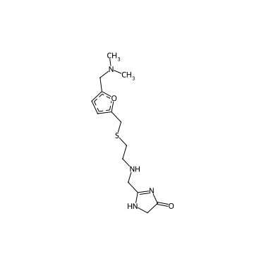 CN(C)Cc1ccc(CSCCNCC2=NC(=O)CN2)o1